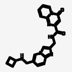 O=C(NCc1cn2cc(CNC3CCC3)ccc2n1)c1cc(=O)n2ccccc2n1